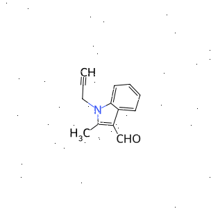 C#CCn1c(C)c(C=O)c2ccccc21